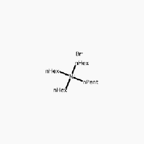 CCCCCC[N+](CCCCC)(CCCCCC)CCCCCC.[Br-]